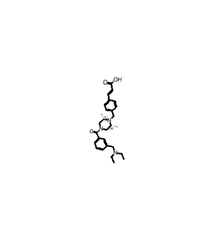 CCN(CC)Cc1cccc(C(=O)N2C[C@@H](C)N(Cc3ccc(C=CC(=O)O)cc3)[C@@H](C)C2)c1